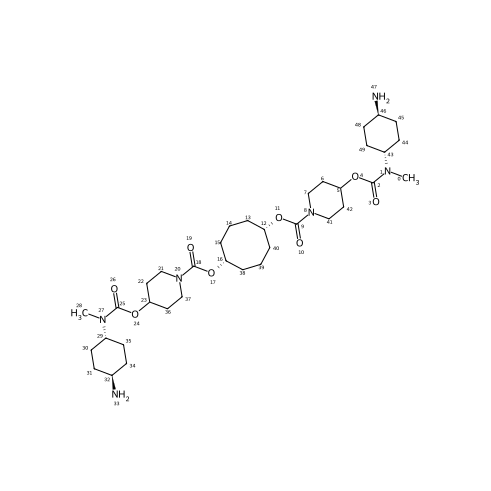 CN(C(=O)OC1CCN(C(=O)O[C@H]2CCC[C@@H](OC(=O)N3CCC(OC(=O)N(C)[C@H]4CC[C@H](N)CC4)CC3)CCC2)CC1)[C@H]1CC[C@H](N)CC1